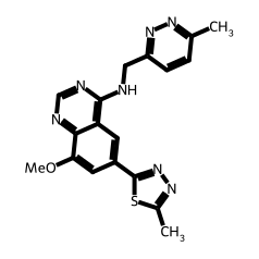 COc1cc(-c2nnc(C)s2)cc2c(NCc3ccc(C)nn3)ncnc12